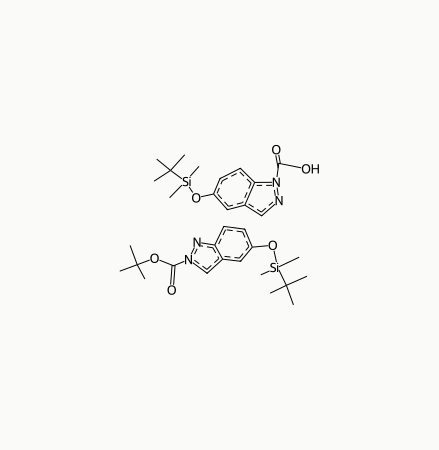 CC(C)(C)OC(=O)n1cc2cc(O[Si](C)(C)C(C)(C)C)ccc2n1.CC(C)(C)[Si](C)(C)Oc1ccc2c(cnn2C(=O)O)c1